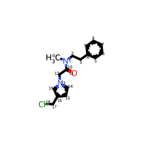 CN(CCc1ccccc1)C(=O)Cn1ccc(CCl)c1